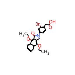 CCOc1c2c(c(OCC)c3ccccc13)C(=O)N(c1ccc(CC(=O)O)c(Br)c1)C2